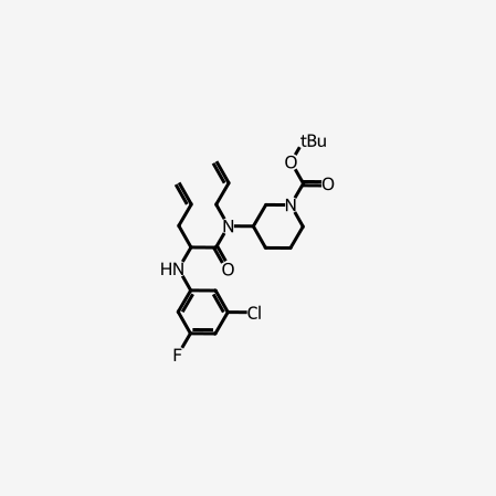 C=CCC(Nc1cc(F)cc(Cl)c1)C(=O)N(CC=C)C1CCCN(C(=O)OC(C)(C)C)C1